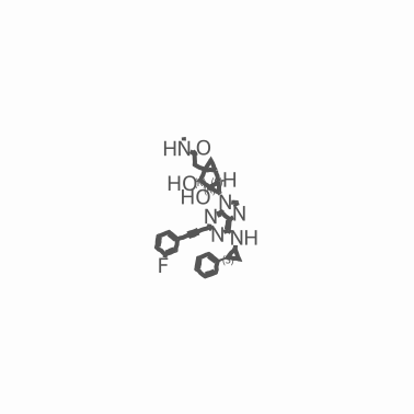 CNC(=O)CC12CC1[C@H]1C(n3cnc4c(NC5C[C@H]5c5ccccc5)nc(C#Cc5cccc(F)c5)nc43)[C@@]1(O)[C@@H]2O